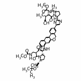 C#CC(C)[C@H](NC(=O)OC)C(=O)N1C(c2ncc(-c3ccc4c(c3)COc3cc5c(ccc6nc([C@@H]7CC[C@H](C#COC(C)(C)C)N7C(=O)C(CC)CNC(=O)OC)[nH]c65)cc3-4)[nH]2)CC[C@@H]1C